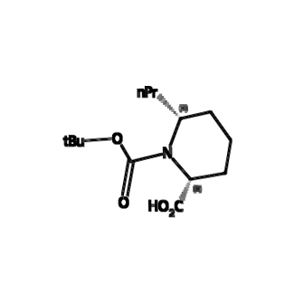 CCC[C@@H]1CCC[C@H](C(=O)O)N1C(=O)OC(C)(C)C